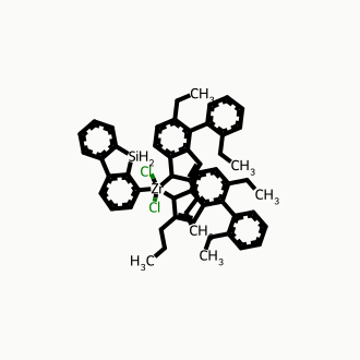 CCCC1=Cc2c(ccc(CC)c2-c2ccccc2CC)[CH]1[Zr]([Cl])([Cl])([c]1cccc2c1[SiH2]c1ccccc1-2)[CH]1C(CCC)=Cc2c1ccc(CC)c2-c1ccccc1CC